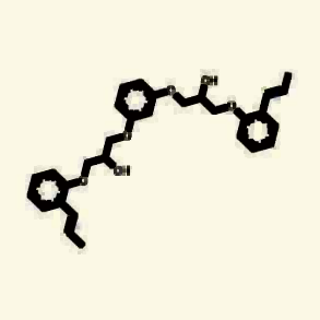 C/C=C/c1ccccc1OCC(O)COc1cccc(OCC(O)COc2ccccc2/C=C/C)c1